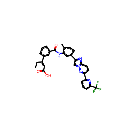 CCC(=CC(=O)O)c1cccc(C(=O)Nc2cc(-c3cn4nc(-c5cccc(C(F)(F)F)n5)ccc4n3)ccc2C)c1